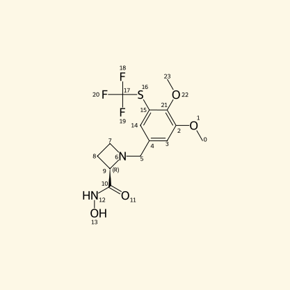 COc1cc(CN2CC[C@@H]2C(=O)NO)cc(SC(F)(F)F)c1OC